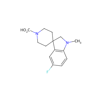 CN1CC2(CCN(C(=O)O)CC2)c2cc(F)ccc21